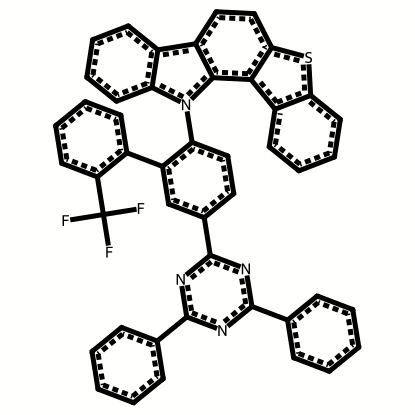 FC(F)(F)c1ccccc1-c1cc(-c2nc(-c3ccccc3)nc(-c3ccccc3)n2)ccc1-n1c2ccccc2c2ccc3sc4ccccc4c3c21